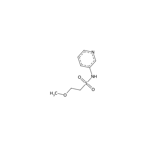 COCCS(=O)(=O)Nc1cccnc1